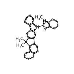 Cn1c(-n2c3ccccc3c3cc4c(cc32)-c2ccc3ccccc3c2C4(C)C)nc2ccccc21